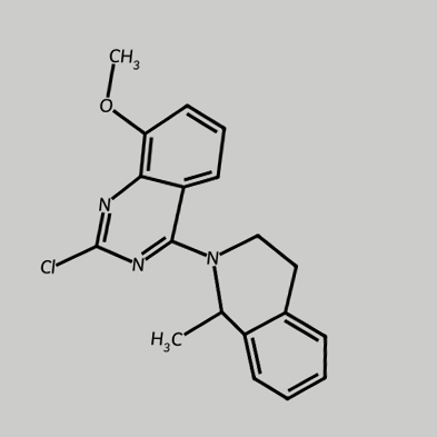 COc1cccc2c(N3CCc4ccccc4C3C)nc(Cl)nc12